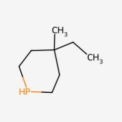 CCC1(C)CCPCC1